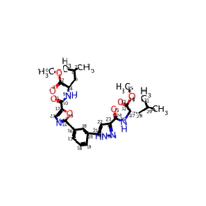 COC(=O)C(CC(C)C)NC(=O)c1cnc(-c2cccc(-c3cc(C(=O)N[C@@H](CC(C)C)C(=O)OC)n[nH]3)c2)o1